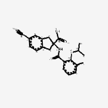 Cc1cccc(C(=O)NC2(C(=O)O)Cc3ccc(C#N)cc3C2)c1OC(C)C